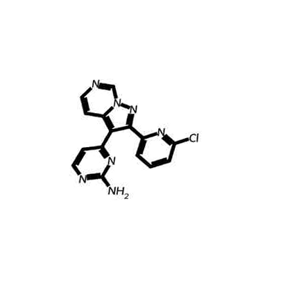 Nc1nccc(-c2c(-c3cccc(Cl)n3)nn3cnccc23)n1